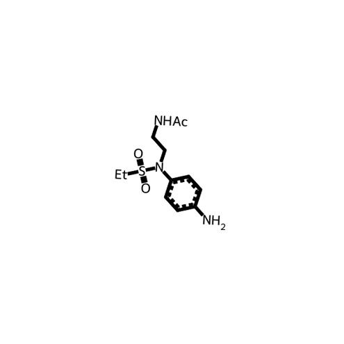 CCS(=O)(=O)N(CCNC(C)=O)c1ccc(N)cc1